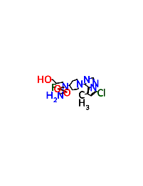 Cc1cc(Cl)n2ncnc(N3CCC(N(CC(F)CO)S(N)(=O)=O)CC3)c12